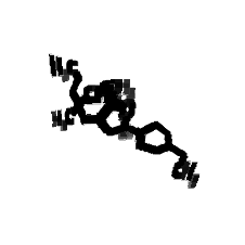 CCCC(C)(C)CC1C[C@H](C2CCC(CC)CC2)OC1C